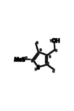 CSc1sc(C)c(CO)c1C